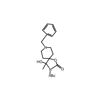 CCCCN1C(=O)OC2(CCN(Cc3ccccc3)CC2)C1(C)O